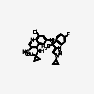 BC(Nc1cc(Cl)c2ncc(C#N)c(NC3(C(C)(C)C)CC3)c2c1)(c1ccc(F)cc1)c1cn(C2CC2)nn1